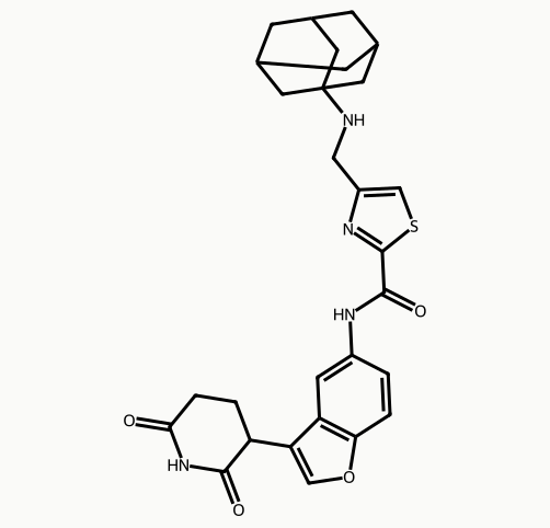 O=C1CCC(c2coc3ccc(NC(=O)c4nc(CNC56CC7CC(CC(C7)C5)C6)cs4)cc23)C(=O)N1